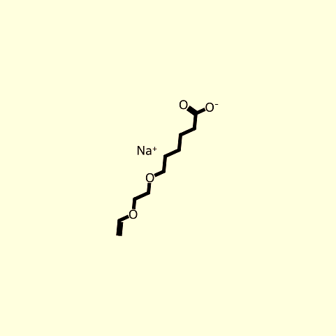 C=COCCOCCCCCC(=O)[O-].[Na+]